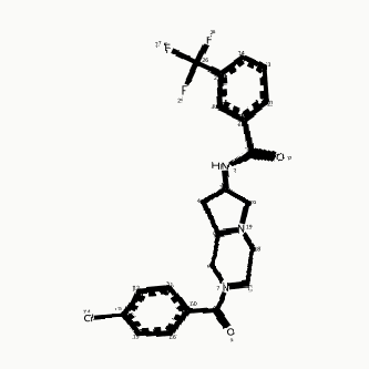 O=C(NC1CC2CN(C(=O)c3ccc(Cl)cc3)CCN2C1)c1cccc(C(F)(F)F)c1